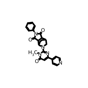 Cn1c(N2CC3CCC2C2C(=O)N(c4ccccc4)C(=O)C32)nc(-c2ccncc2)cc1=O